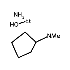 CCO.CNC1CCCC1.N